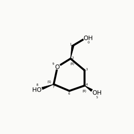 OC[C@H]1C[C@@H](O)C[C@@H](O)O1